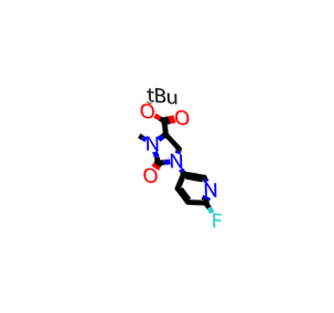 CN1C(=O)N(c2ccc(F)nc2)CC1C(=O)OC(C)(C)C